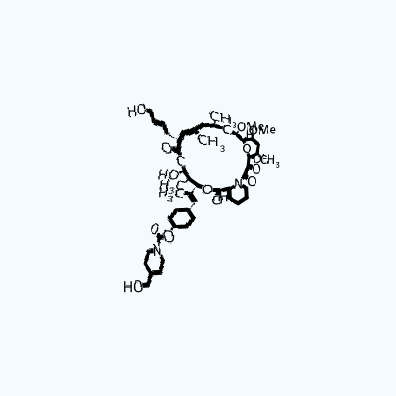 CO[C@H]1C[C@@H](C)C/C(C)=C/[C@@H](C/C=C/CO)C(=O)C[C@H](O)[C@@H](C)[C@@H](/C(C)=C/[C@H]2CC[C@H](OC(=O)N3CCC(CO)CC3)CC2)OC(=O)[C@@H]2CCCCN2C(=O)C(=O)[C@]2(O)O[C@H]1[C@@H](OC)C[C@H]2C